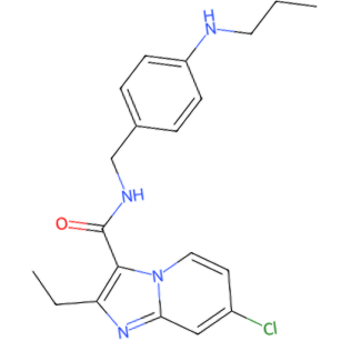 CCCNc1ccc(CNC(=O)c2c(CC)nc3cc(Cl)ccn23)cc1